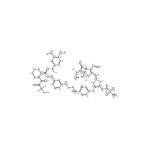 CCC(C)(C)C(=O)C(=O)N1CCCC[C@H]1C(=O)O[C@H](CCc1ccc(OC)c(OC)c1)c1cccc(OCCNc2ccc(CN3C[C@@H](SC4=C(C=O)N5C(=O)[C@H]([C@@H](C)O)[C@H]5[C@H]4C)C[C@H]3CNS(N)(=O)=O)cn2)c1